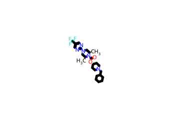 C[C@@H]1CN(c2ncc(C(F)(F)F)cn2)C[C@H](C)N1C(=O)OC1CCN(CC2CCCCC2)CC1